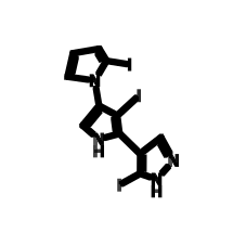 Ic1[nH]ncc1-c1[nH]cc(-n2cccc2I)c1I